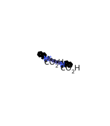 C\C(=C/C=C/C=C/C=C/C(C)=[N+](\CC(=O)O)c1ccc2ccccc2c1C)N(CC(=O)O)c1ccc2ccccc2c1C